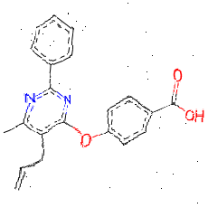 C=CCc1c(C)nc(-c2ccccc2)nc1Oc1ccc(C(=O)O)cc1